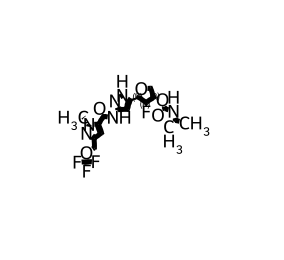 CC(C)NC(=O)O[C@@H]1CO[C@H](c2cc(NC(=O)c3cc(COC(F)(F)F)nn3C)n[nH]2)[C@H]1F